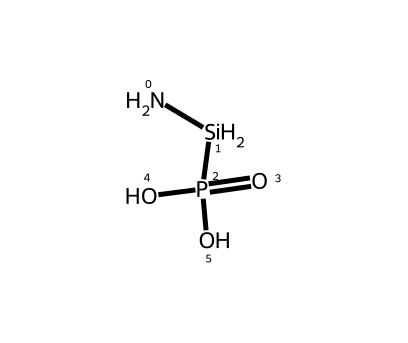 N[SiH2]P(=O)(O)O